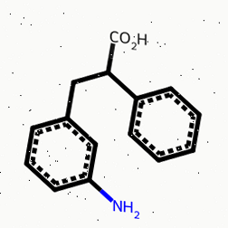 Nc1cccc(CC(C(=O)O)c2ccccc2)c1